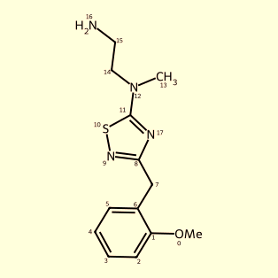 COc1ccccc1Cc1nsc(N(C)CCN)n1